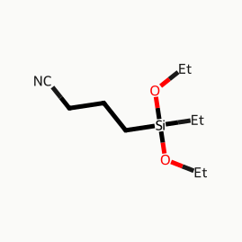 CCO[Si](CC)(CCCC#N)OCC